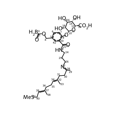 BC(=O)OCc1ccc(O[C@@H]2O[C@H](C(=O)O)[C@@H](O)[C@H](O)[C@H]2O)c(C(=O)NCCC/N=C(\C)CC/C(C)=C/CC/C(C)=C/CSC)c1